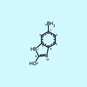 Bc1ccc2c(c1)BC(O)=B2